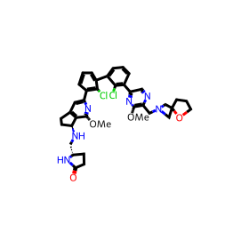 COc1nc(-c2cccc(-c3cccc(-c4cc5c(c(OC)n4)[C@@H](NC[C@@H]4CCC(=O)N4)CC5)c3Cl)c2Cl)cnc1CN1CC2(CCCO2)C1